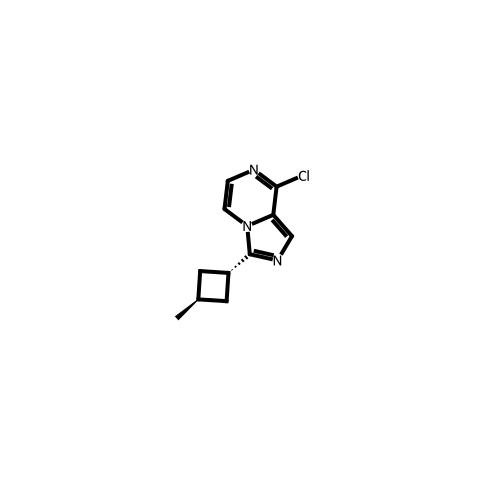 C[C@H]1C[C@H](c2ncc3c(Cl)nccn32)C1